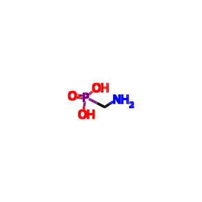 NCP(=O)(O)O